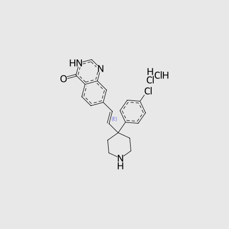 Cl.Cl.O=c1[nH]cnc2cc(/C=C/C3(c4ccc(Cl)cc4)CCNCC3)ccc12